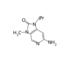 CC(C)n1c(=O)n(C)c2cnc(N)cc21